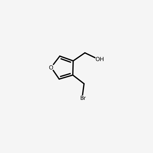 OCc1cocc1CBr